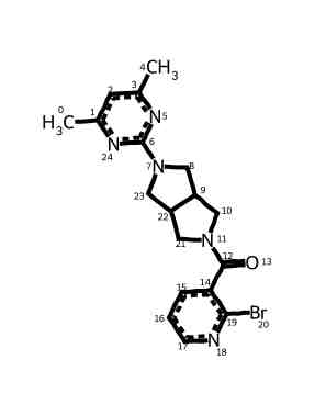 Cc1cc(C)nc(N2CC3CN(C(=O)c4cccnc4Br)CC3C2)n1